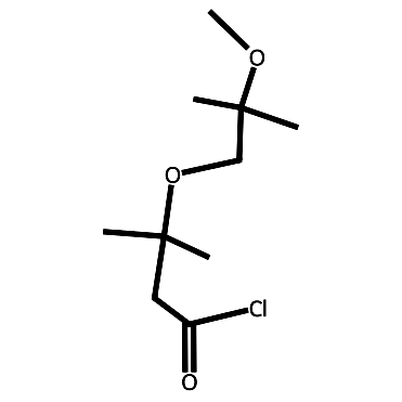 COC(C)(C)COC(C)(C)CC(=O)Cl